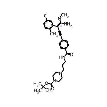 C=N/C(N)=C(/C#Cc1ccc(C(=O)NCCCN2CCN(C(=O)OC(C)(C)C)CC2)cc1)c1cc(Cl)ccc1C